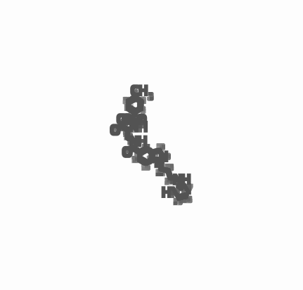 Cc1ccc(S(=O)(=O)NC(CNC(=O)c2ccc3c(cnn3CCCNc3ncc[nH]3)c2)C(=O)O)cc1